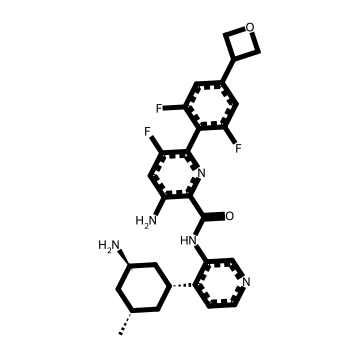 C[C@@H]1C[C@@H](N)C[C@H](c2ccncc2NC(=O)c2nc(-c3c(F)cc(C4COC4)cc3F)c(F)cc2N)C1